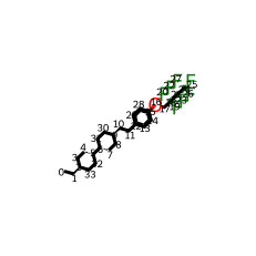 CC[C@H]1CC[C@H]([C@H]2CC[C@H](CCc3ccc(OCC(F)(F)C(F)(F)C(F)(F)F)cc3)CC2)CC1